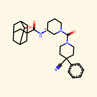 N#CC1(c2ccccc2)CCN(C(=O)N2CCC[C@H](NC(=O)C34CC5CC(C3)C(O)C(C5)C4)C2)CC1